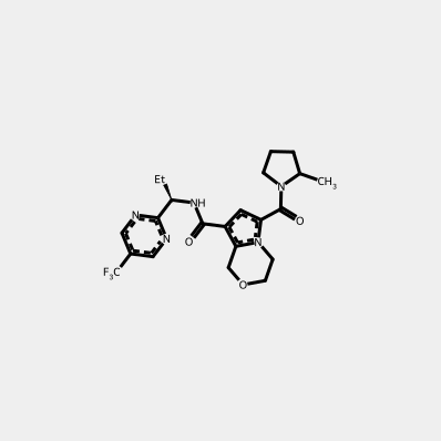 CC[C@@H](NC(=O)c1cc(C(=O)N2CCCC2C)n2c1COCC2)c1ncc(C(F)(F)F)cn1